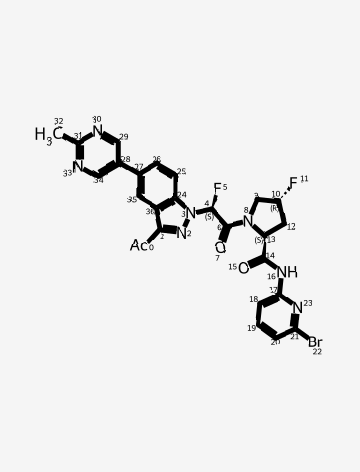 CC(=O)c1nn([C@@H](F)C(=O)N2C[C@H](F)C[C@H]2C(=O)Nc2cccc(Br)n2)c2ccc(-c3cnc(C)nc3)cc12